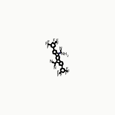 N#CC(C#N)=C1c2cc(-c3cc(C(F)(F)F)cc(C(F)(F)F)c3)ccc2-c2cc3c(cc21)-c1ccc(-c2cc(C(F)(F)F)cc(C(F)(F)F)c2)cc1/C3=C(/N)C#N